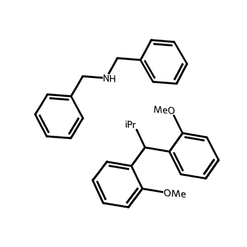 COc1ccccc1C(c1ccccc1OC)C(C)C.c1ccc(CNCc2ccccc2)cc1